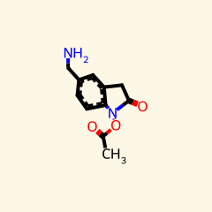 CC(=O)ON1C(=O)Cc2cc(CN)ccc21